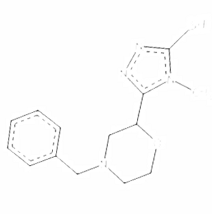 Cn1c(S)nnc1C1CN(Cc2ccccc2)CCO1